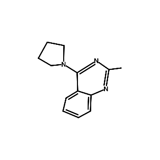 Cc1nc(N2CCCC2)c2ccccc2n1